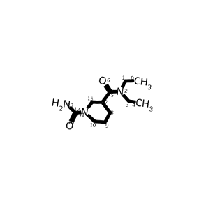 CCN(CC)C(=O)C1CCCN(C(N)=O)C1